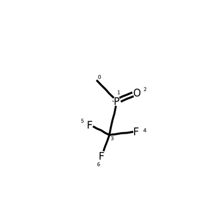 C[P](=O)C(F)(F)F